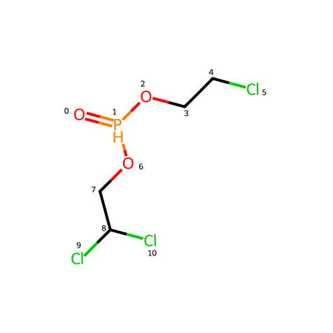 O=[PH](OCCCl)OCC(Cl)Cl